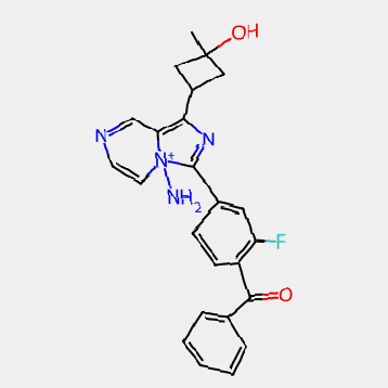 CC1(O)CC(C2=C3C=NC=C[N+]3(N)C(c3ccc(C(=O)c4ccccc4)c(F)c3)=N2)C1